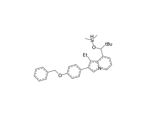 CCc1c(-c2ccc(OCc3ccccc3)cc2)cn2cccc(C(O[SiH](C)C)C(C)(C)C)c12